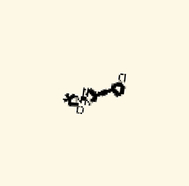 CC1(C)CC(=O)N(c2ncc(C#Cc3cccc(Cl)c3)cn2)C1